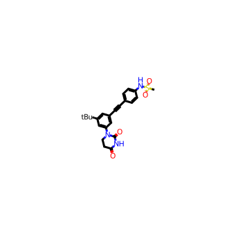 CC(C)(C)c1cc(C#Cc2ccc(NS(C)(=O)=O)cc2)cc(N2CCC(=O)NC2=O)c1